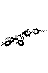 O=C(NC(c1ccccc1)c1c[nH]c2cc(Cl)ccc2c1=O)Oc1ccc(N2CCC(CO)CC2)nc1